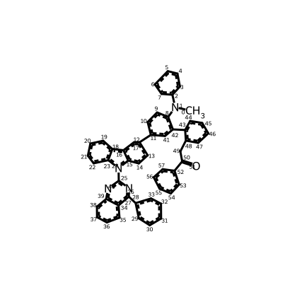 CN(c1ccccc1)c1ccc(-c2ccc3c(c2)c2ccccc2n3-c2nc(-c3ccccc3)c3ccccc3n2)cc1-c1ccccc1CC(=O)c1ccccc1